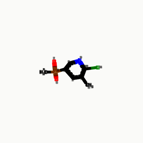 Cc1cc(S(C)(=O)=O)cnc1Cl